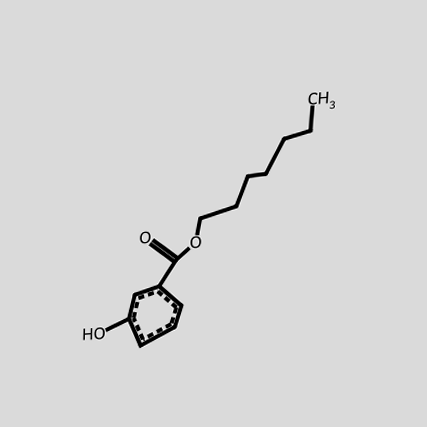 CCCCCCCOC(=O)c1cccc(O)c1